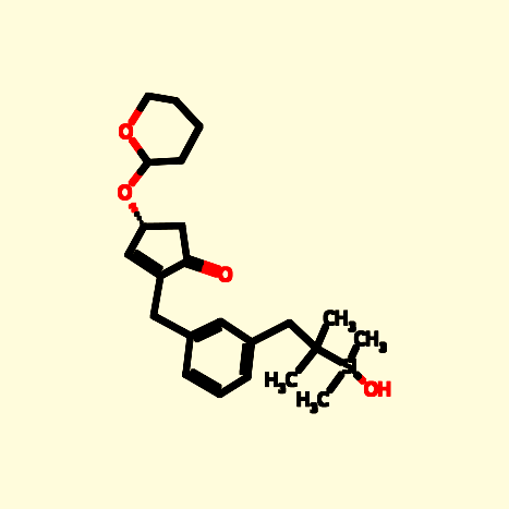 CC(C)(Cc1cccc(CC2=C[C@H](OC3CCCCO3)CC2=O)c1)[Si](C)(C)O